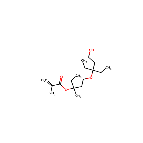 C=C(C)C(=O)OC(C)(CC)CCOC(CC)(CC)CCO